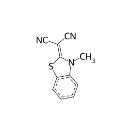 CN1C(=C(C#N)C#N)Sc2ccccc21